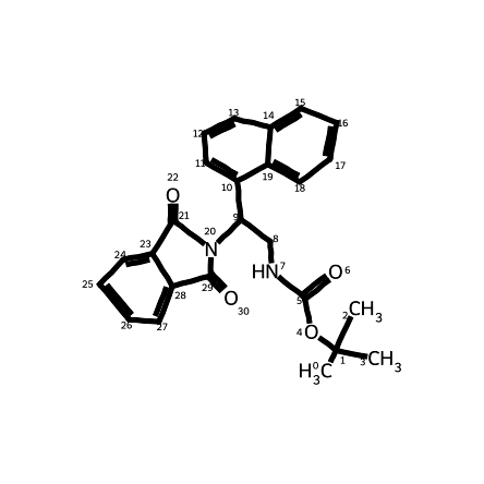 CC(C)(C)OC(=O)NCC(c1cccc2ccccc12)N1C(=O)c2ccccc2C1=O